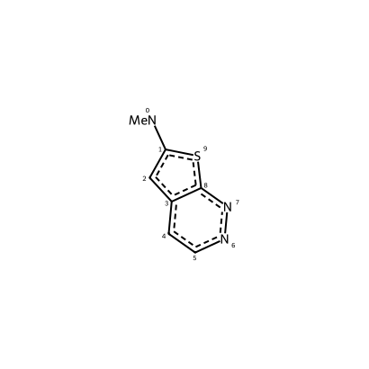 CNc1cc2ccnnc2s1